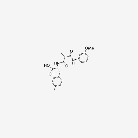 COc1cccc(NC(=O)C(C)C(=O)NC(Cc2ccc(C)cc2)B(O)O)c1